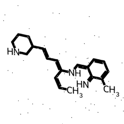 C\C=C/C(=C\C=C\C1CCCNC1)N/C=C1/C=CC=C(C)C1=N